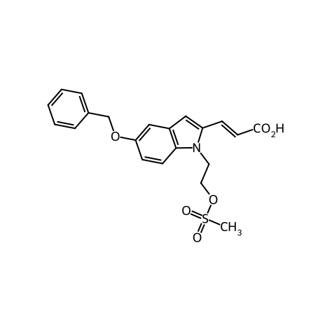 CS(=O)(=O)OCCn1c(C=CC(=O)O)cc2cc(OCc3ccccc3)ccc21